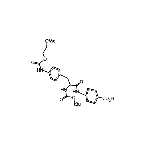 COCCOC(=O)Nc1ccc(CC(NC(=O)OC(C)(C)C)C(=O)Nc2ccc(C(=O)O)cc2)cc1